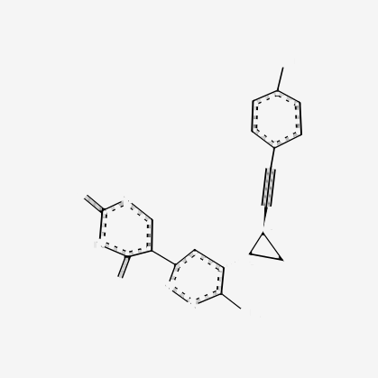 Cc1ccc(C#C[C@H]2C[C@@H]2c2cc(-c3c[nH]c(=O)[nH]c3=O)nnc2C)cc1